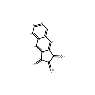 C=C1C(=O)c2cc3ccccc3cc2C1=O